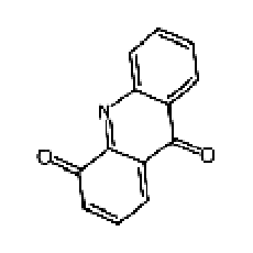 O=C1C=CC=C2C(=O)c3ccccc3N=C12